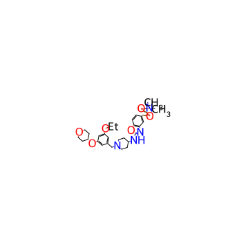 CCOc1cc(CN2CCC(Nc3nc4cc(S(=O)(=O)N(C)C)ccc4o3)CC2)cc(OC2CCOCC2)c1